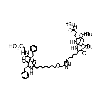 CC(C)(C)OC(=O)CC[C@H](NC(=O)N[C@@H](CCCCn1cc(COCCCCCCCC(=O)N[C@@H](Cc2ccccc2)C(=O)N[C@@H](Cc2ccccc2)C(=O)NCCC(=O)O)nn1)C(=O)OC(C)(C)C)C(=O)OC(C)(C)C